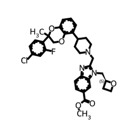 COC(=O)c1ccc2nc(CN3CCC(c4cccc5c4OCC(C)(c4ccc(Cl)cc4F)O5)CC3)n(C[C@@H]3CCO3)c2c1